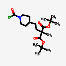 CC(C)(C)OC(=O)C(C)(CCC1CCN(C(=O)Cl)CC1)C(=O)OC(C)(C)C